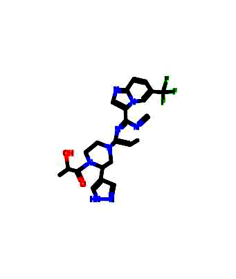 C=N/C(=N\C(=C/C)N1CCN(C(=O)C(C)O)C(c2cn[nH]c2)C1)c1cnc2ccc(C(F)(F)F)cn12